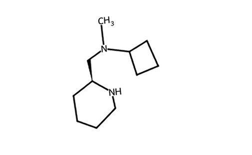 CN(C[C@@H]1CCCCN1)C1CCC1